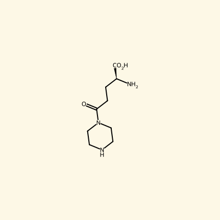 N[C@@H](CCC(=O)N1CCNCC1)C(=O)O